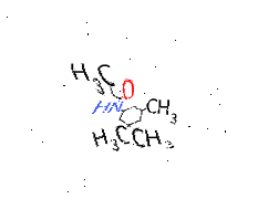 CCC(=O)NC1CC(C)CC(C)(C)C1